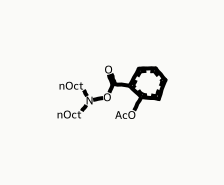 CCCCCCCCN(CCCCCCCC)OC(=O)c1ccccc1OC(C)=O